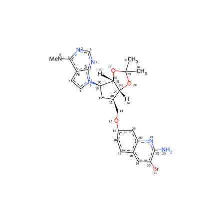 CNc1ncnc2c1ccn2[C@@H]1C[C@H](COc2ccc3cc(Br)c(N)nc3c2)[C@H]2OC(C)(C)O[C@H]21